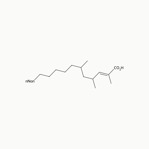 CCCCCCCCCCCCCCC(C)CC(C)C=C(C)C(=O)O